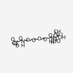 CCC[C@H](NC(=O)CCOCCOCCOCCOCCNC(=O)CCN1C(=O)C=CC1=O)C(C(=O)O)C(=O)O